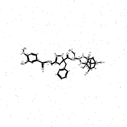 CC(C)C[C@H](NC(=O)C1(Cc2ccccc2)CC(CNC(=O)c2ccc(OC(C)C)c(C#N)c2)=NO1)B1O[C@@H]2C[C@@H]3C[C@@H](C3(C)C)[C@]2(C)O1